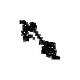 CNC(=O)c1cnc(Nc2ccc(C(=O)NCCCCCCCCCC(=O)N[C@H](C(=O)N3C[C@@H](O)C[C@@]3(Cc3ccc(-c4scnc4C)cc3)C(N)=O)C(C)(C)C)cn2)cc1Nc1cccc(C(=O)NC)c1OC